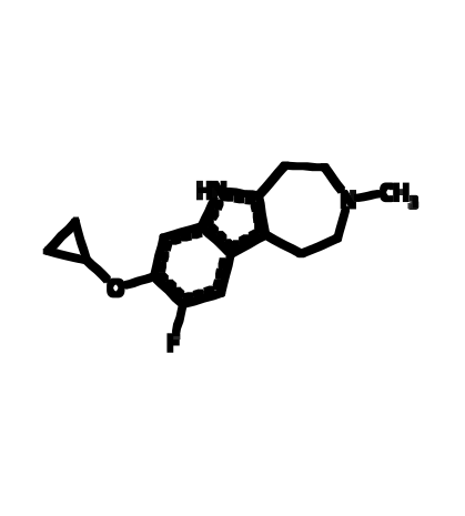 CN1CCc2[nH]c3cc(OC4CC4)c(F)cc3c2CC1